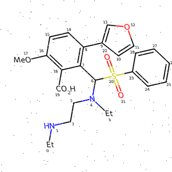 CCNCCN(CC)C(c1c(-c2ccoc2)ccc(OC)c1C(=O)O)S(=O)(=O)c1ccccc1